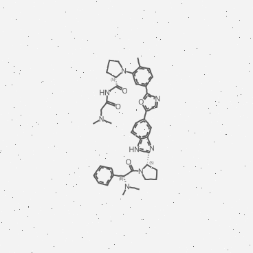 Cc1ccc(-c2ncc(-c3ccc4[nH]c([C@@H]5CCCN5C(=O)[C@@H](c5ccccc5)N(C)C)nc4c3)o2)cc1N1CCC[C@H]1C(=O)NC(=O)CN(C)C